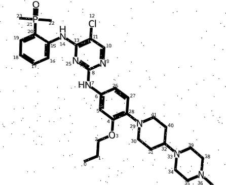 CCCOc1cc(Nc2ncc(Cl)c(Nc3ccccc3P(C)(C)=O)n2)ccc1N1CCC(N2CCN(C)CC2)CC1